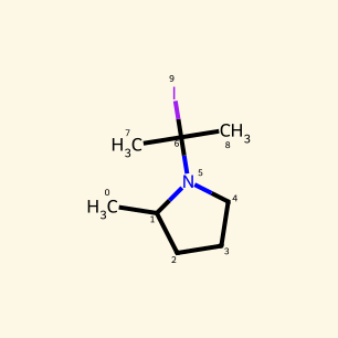 CC1CCCN1C(C)(C)I